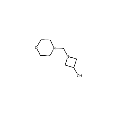 OC1CN(CN2CCOCC2)C1